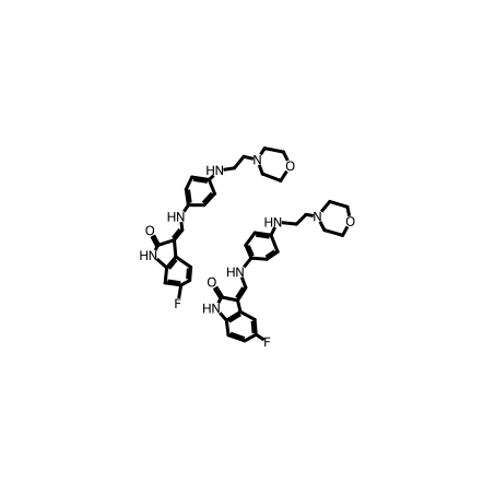 O=C1Nc2cc(F)ccc2C1=CNc1ccc(NCCN2CCOCC2)cc1.O=C1Nc2ccc(F)cc2C1=CNc1ccc(NCCN2CCOCC2)cc1